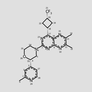 Cc1cc([C@H]2CN(c3nc4nc(C)c(C)nc4c([C@H]4C[C@@H](C(F)(F)F)C4)n3)CCO2)ccn1